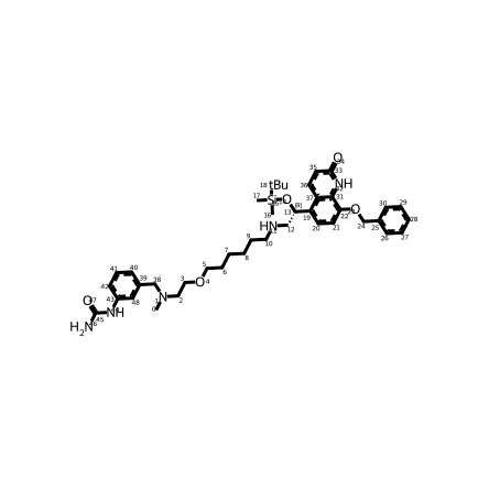 CN(CCOCCCCCCNC[C@H](O[Si](C)(C)C(C)(C)C)c1ccc(OCc2ccccc2)c2[nH]c(=O)ccc12)Cc1cccc(NC(N)=O)c1